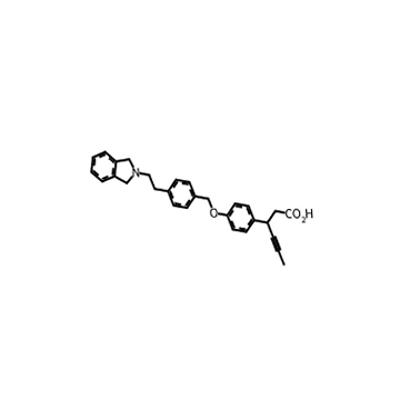 CC#CC(CC(=O)O)c1ccc(OCc2ccc(CCN3Cc4ccccc4C3)cc2)cc1